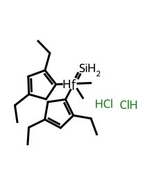 CCC1=CC(CC)=[C]([Hf]([CH3])([CH3])(=[SiH2])[C]2=C(CC)C=C(CC)C2)C1.Cl.Cl